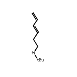 C=CC=CCC[N]C(C)(C)C